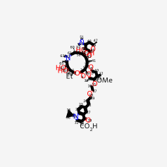 CC[C@H]1OC(=O)[C@H](C)[C@@H](OC2C[C@@](C)(OC)[C@@H](OCCOCC=Cc3ccc4c(c3)c(=O)c(C(=O)O)cn4C3CC3)[C@H](C)O2)[C@H](C)[C@@H](O[C@@H]2O[C@H](C)C[C@H](N(C)C)[C@H]2O)[C@](C)(O)C[C@@H](C)CN(C)[C@H](C)[C@H](O)[C@]1(C)O